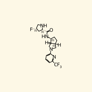 O=C(N[C@H]1CC[C@@H]2CN(c3cccc(C(F)(F)F)n3)C[C@@H]21)[C@@H]1C[C@H](F)CN1